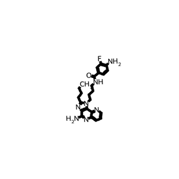 CCCCc1nc2c(N)nc3cccnc3c2n1CCCCNC(=O)c1ccc(N)c(F)c1